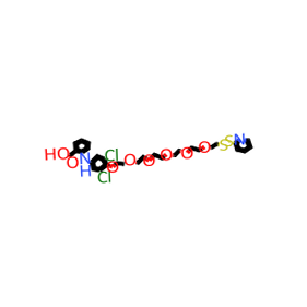 O=C(O)c1ccccc1Nc1cc(Cl)c(OCCOCCOCCOCCOCCOCCSSc2ccccn2)c(Cl)c1